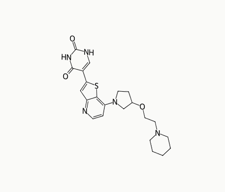 O=c1[nH]cc(-c2cc3nccc(N4CCC(OCCN5CCCCC5)C4)c3s2)c(=O)[nH]1